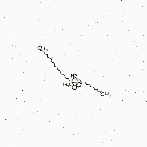 CCCCCCCCCCCCCCCCCCC(c1nccn1CCCCCCCCCCCCC)C(C)(Cc1ccccc1)c1ccccc1